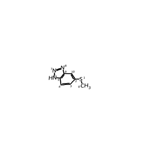 CSc1ccc2[nH]nnc2c1